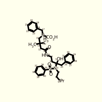 CC(C)CCN(C(O)(CCNC(=O)CC(C)(C)CN(Cc1ccccc1)C(=O)O)Cc1ccccc1)S(=O)(=O)c1ccccc1